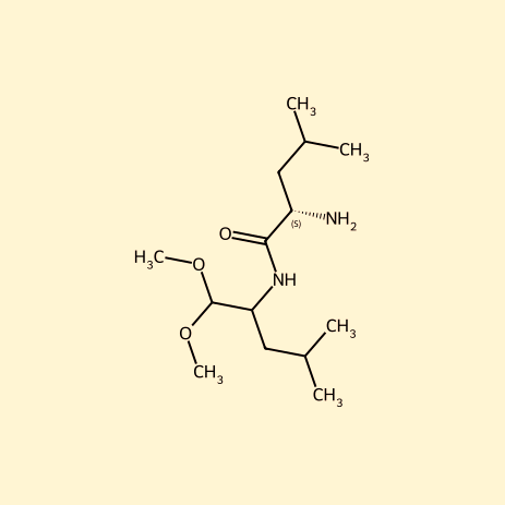 COC(OC)C(CC(C)C)NC(=O)[C@@H](N)CC(C)C